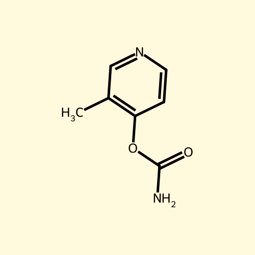 Cc1cnccc1OC(N)=O